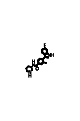 Cc1cc(C(=O)N[C@H]2CCCNC2)ccc1-c1c[nH]c2cc(F)ccc12